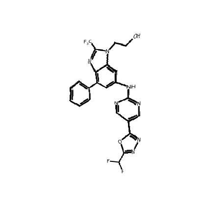 OCCn1c(C(F)(F)F)nc2c(-c3ccccc3)cc(Nc3ncc(-c4nnc(C(F)F)o4)cn3)cc21